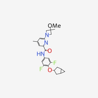 COC1(C)CN(c2cc(C)cc(C(=O)Nc3cc(F)c(OC4CC5CC5C4)c(F)c3)n2)C1